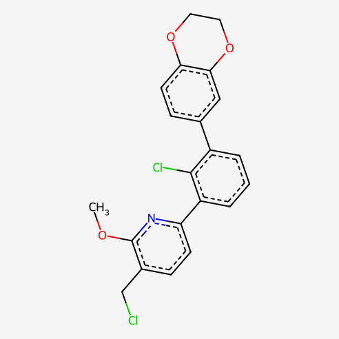 COc1nc(-c2cccc(-c3ccc4c(c3)OCCO4)c2Cl)ccc1CCl